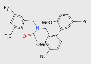 COC(=O)N(Cc1cc(C(F)(F)F)cc(C(F)(F)F)c1)Cc1cc(C#N)ccc1-c1cc(C(C)C)ccc1OC